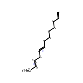 C=CCCCCC/C=C/C/C=C/CCCCCC